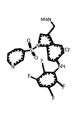 CNCc1cn(S(=O)(=O)c2cccnc2)c2cc(Nc3c(F)c(F)cc(F)c3F)ccc12.Cl